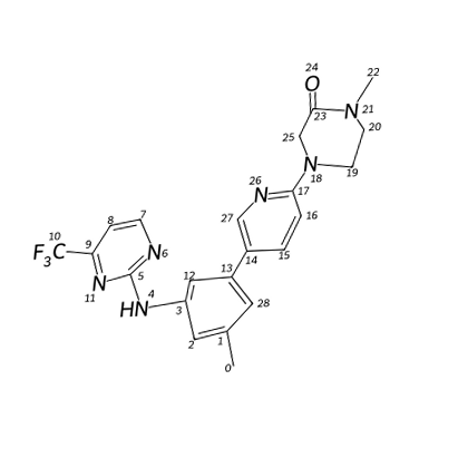 Cc1cc(Nc2nccc(C(F)(F)F)n2)cc(-c2ccc(N3CCN(C)C(=O)C3)nc2)c1